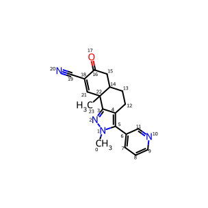 Cn1nc2c(c1-c1cccnc1)CCC1CC(=O)C(C#N)=CC21C